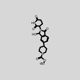 CC(C)(C)OC(=O)N1CCC(c2ccc3c(c2)C(O)N(C2CCC(=O)NC2=O)C3=O)CC1